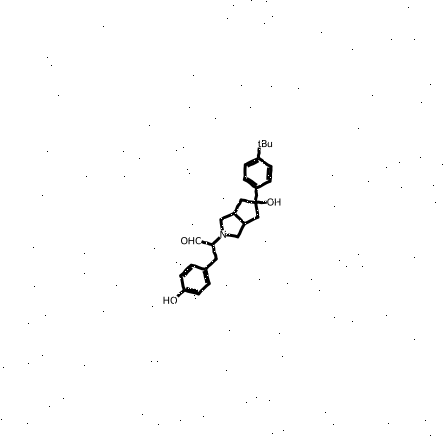 CC(C)(C)c1ccc(C2(O)CC3CN(C(C=O)Cc4ccc(O)cc4)CC3C2)cc1